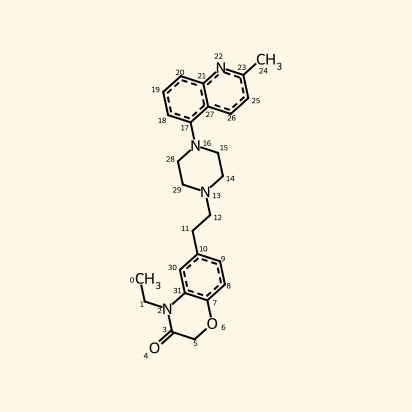 CCN1C(=O)COc2ccc(CCN3CCN(c4cccc5nc(C)ccc45)CC3)cc21